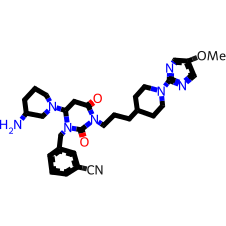 COc1cnc(N2CCC(CCCN3C(=O)CC(N4CCCC(N)C4)N(Cc4cccc(C#N)c4)C3=O)CC2)nc1